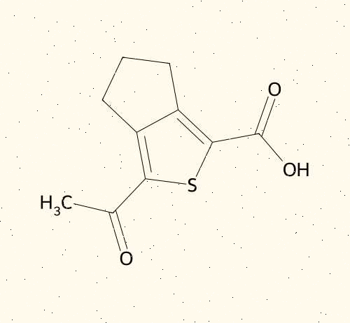 CC(=O)c1sc(C(=O)O)c2c1CCC2